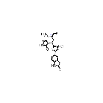 Cl.NC/C(=C/F)CC(c1ccc(-c2ccc3c(c2)CC(=O)N3)s1)n1cn[nH]c1=O